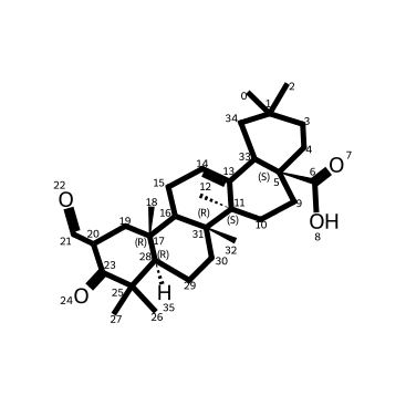 CC1(C)CC[C@]2(C(=O)O)CC[C@]3(C)C(=CCC4[C@@]5(C)CC(C=O)C(=O)C(C)(C)[C@@H]5CC[C@]43C)C2C1